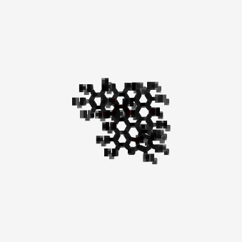 Bc1c(B)c(B)c(-c2c(B)c(B)c(-c3c(B)c(B)c(B)c(B)c3-c3c4c(B)c(B)c(B)c(B)c4c(-c4c(B)c(B)c(B)c5oc6c(B)c(B)c(B)c(B)c6c45)c4c(B)c(B)c(B)c(B)c34)c(B)c2B)c(B)c1B